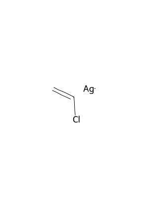 C=CCl.[Ag]